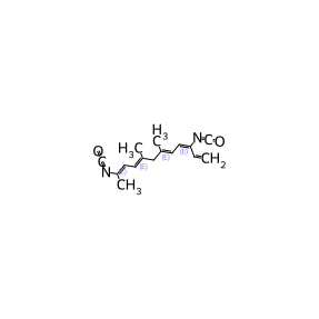 C=C/C(=C\C=C(/C)C/C(C)=C/C=C(\C)N=C=O)N=C=O